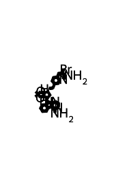 CC1(C)O[C@@H]2[C@H](O1)[C@@H](/C=C/c1ccc3cc(Br)c(N)nc3c1)C[C@H]2n1c2ccccc2c2c(N)ncnc21